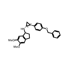 COc1cc2c(cc1OC)C(N[C@@H]1C[C@H]1c1ccc(OCc3ccccc3)cc1)CC2